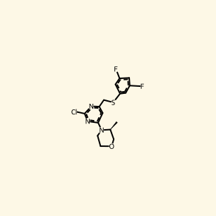 C[C@H]1COCCN1c1cc(CSc2cc(F)cc(F)c2)nc(Cl)n1